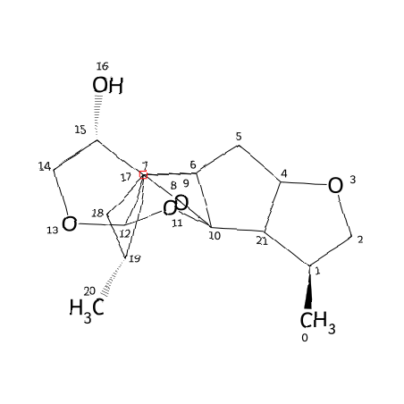 C[C@@H]1COC2CC34C5OCC3(OC3OC[C@H](O)C34C[C@H]5C)C21